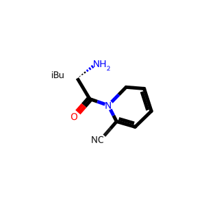 CC[C@H](C)[C@H](N)C(=O)N1CC=CC=C1C#N